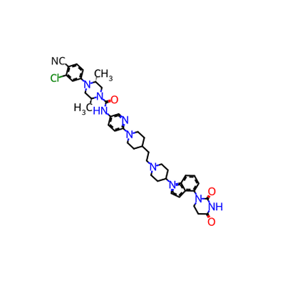 C[C@@H]1CN(C(=O)Nc2ccc(N3CCC(CCN4CCC(n5ccc6c(N7CCC(=O)NC7=O)cccc65)CC4)CC3)nc2)[C@@H](C)CN1c1ccc(C#N)c(Cl)c1